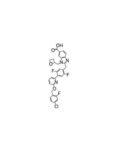 O=C(O)c1ccc2nc(Cc3cc(F)c(-c4cccc(OCc5ccc(Cl)cc5F)n4)cc3F)n(CC3CCO3)c2c1